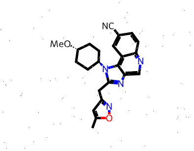 CO[C@H]1CC[C@H](n2c(Cc3cc(C)on3)nc3cnc4ccc(C#N)cc4c32)CC1